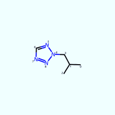 CC(C)Cn1n[c]nn1